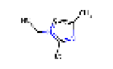 CCc1nc(C)cn1CC#N